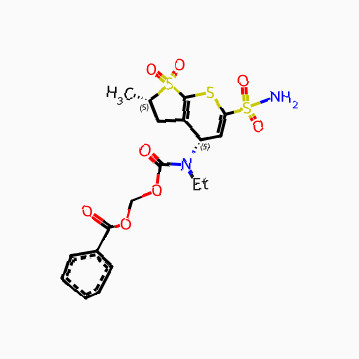 CCN(C(=O)OCOC(=O)c1ccccc1)[C@H]1C=C(S(N)(=O)=O)SC2=C1C[C@H](C)S2(=O)=O